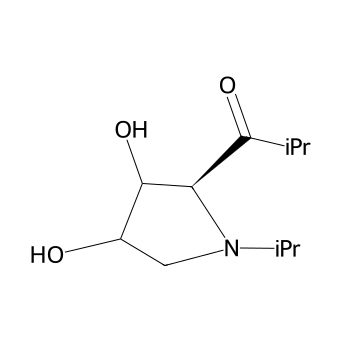 CC(C)C(=O)[C@@H]1C(O)C(O)CN1C(C)C